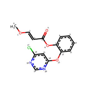 CO/C=C/C(=O)Oc1ccccc1Oc1cc(Cl)ncn1